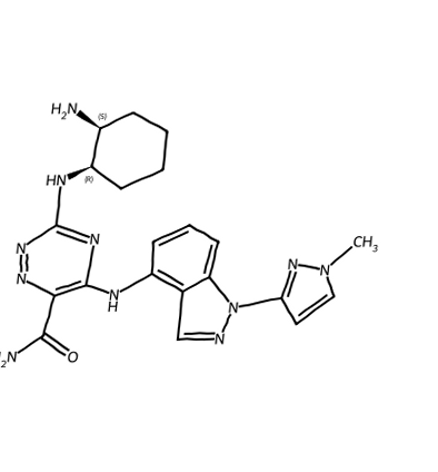 Cn1ccc(-n2ncc3c(Nc4nc(N[C@@H]5CCCC[C@@H]5N)nnc4C(N)=O)cccc32)n1